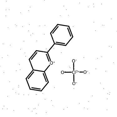 [O-][Cl+3]([O-])([O-])[O-].c1ccc(-c2ccc3ccccc3[o+]2)cc1